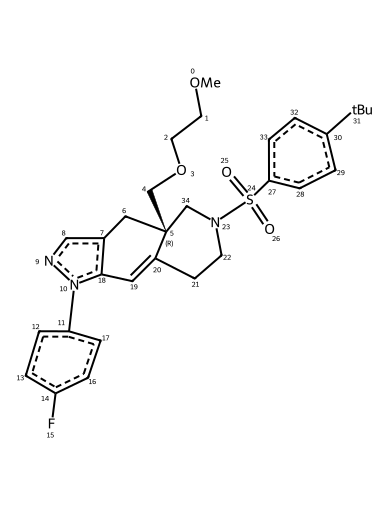 COCCOC[C@]12Cc3cnn(-c4ccc(F)cc4)c3C=C1CCN(S(=O)(=O)c1ccc(C(C)(C)C)cc1)C2